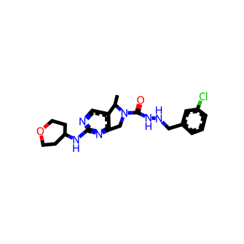 CC1c2cnc(NC3CCOCC3)nc2CN1C(=O)NNCc1cccc(Cl)c1